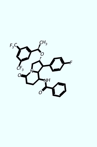 C[C@@H](O[C@H]1CN2C(=O)CCC(NC(=O)c3ccccc3)C2C1c1ccc(F)cc1)c1cc(C(F)(F)F)cc(C(F)(F)F)c1